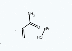 C=CC(N)=O.CCCO